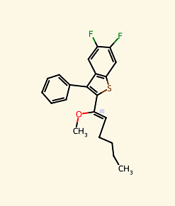 CCCC/C=C(\OC)c1sc2cc(F)c(F)cc2c1-c1ccccc1